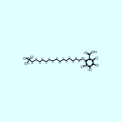 O=C(O)c1c(Cl)c(Cl)c(Cl)c(Cl)c1OCCCCCCCCCCCCCCCC(Cl)(Cl)Cl